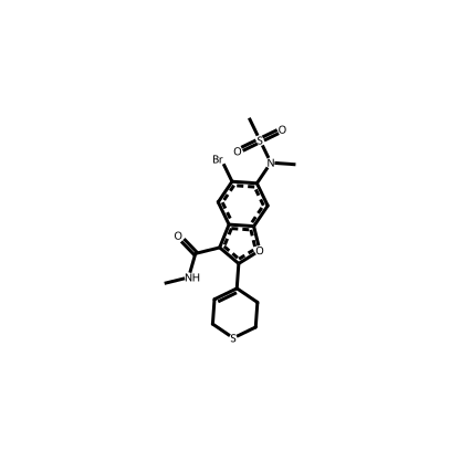 CNC(=O)c1c(C2=CCSCC2)oc2cc(N(C)S(C)(=O)=O)c(Br)cc12